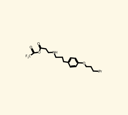 CC(C)CCCOc1ccc(CCCNCCC(=O)OC(=O)C(F)(F)F)cc1